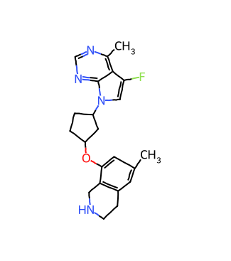 Cc1cc2c(c(OC3CCC(n4cc(F)c5c(C)ncnc54)C3)c1)CNCC2